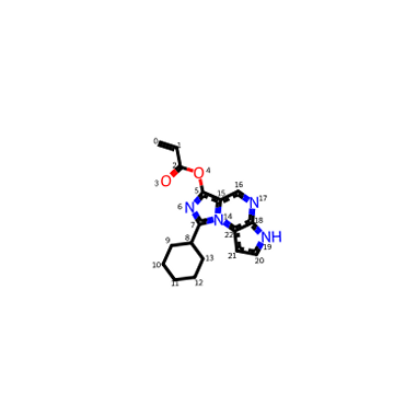 C=CC(=O)Oc1nc(C2CCCCC2)n2c1cnc1[nH]ccc12